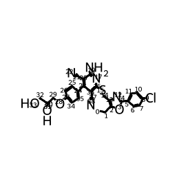 CCc1oc(-c2ccc(Cl)cc2)nc1CSc1nc(N)c(C#N)c(-c2ccc(OC[C@H](O)CO)cc2)c1C#N